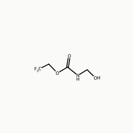 O=C(NCO)OCC(F)(F)F